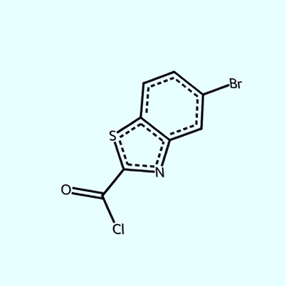 O=C(Cl)c1nc2cc(Br)ccc2s1